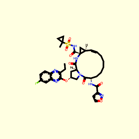 CCc1nc2ccc(F)cc2nc1O[C@@H]1C[C@H]2C(=O)N[C@]3(C(=O)NS(=O)(=O)C4(C)CC4)C[C@H]3C=CCCCCC[C@H](NC(=O)c3ccon3)C(=O)N2C1